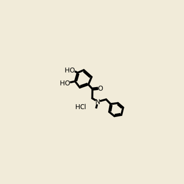 CN(CC(=O)c1ccc(O)c(O)c1)Cc1ccccc1.Cl